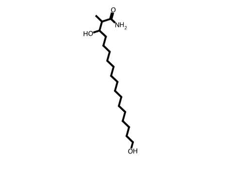 CC(C(N)=O)C(O)CCCCCCCCCCCCCCCO